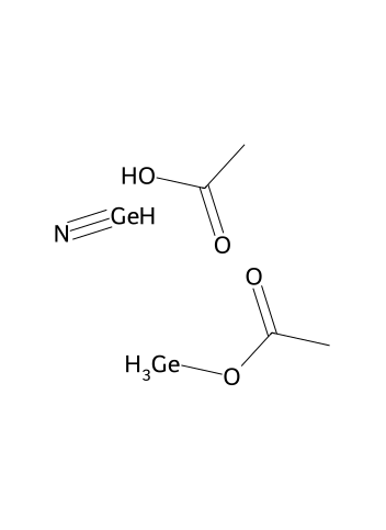 CC(=O)O.CC(=O)[O][GeH3].[N]#[GeH]